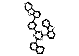 C1=CC2c3cccc(-c4cccc(-c5nc(-c6cccc7ccccc67)nc(-c6cccc7sc8ccccc8c67)n5)c4)c3OC2C=N1